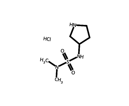 CN(C)S(=O)(=O)NC1CCNC1.Cl